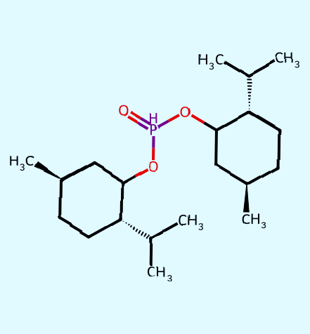 CC(C)[C@@H]1CC[C@@H](C)CC1O[PH](=O)OC1C[C@H](C)CC[C@H]1C(C)C